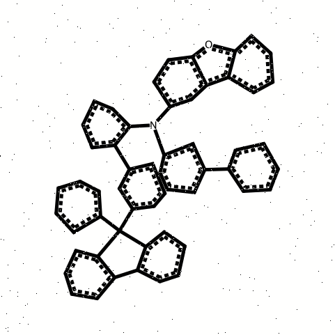 c1ccc(-c2cccc(N(c3ccc4oc5ccccc5c4c3)c3ccccc3-c3cccc(C4(c5ccccc5)c5ccccc5-c5ccccc54)c3)c2)cc1